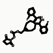 O=C(OCC1C2CCC3=C(c4ccccc4F)NNC(c4ccccc4F)=C3CCC21)ON1C(=O)CCC1=O